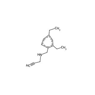 C#CCNCc1ccc(CC)cc1CC